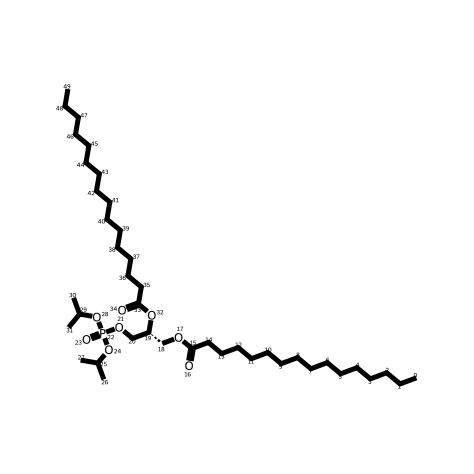 CCCCCCCCCCCCCCCC(=O)OC[C@H](COP(=O)(OC(C)C)OC(C)C)OC(=O)CCCCCCCCCCCCCCC